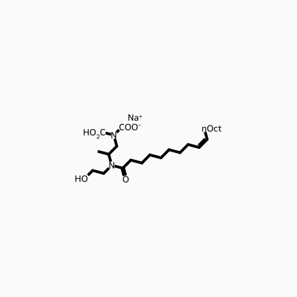 CCCCCCCC/C=C\CCCCCCCC(=O)N(CCO)C(C)CN(C(=O)[O-])C(=O)O.[Na+]